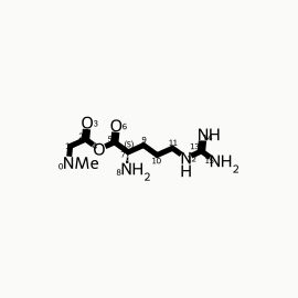 CNCC(=O)OC(=O)[C@@H](N)CCCNC(=N)N